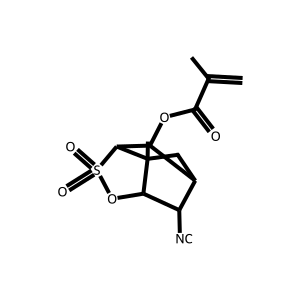 [C-]#[N+]C1C2CC3(C)C1OS(=O)(=O)C3C2OC(=O)C(=C)C